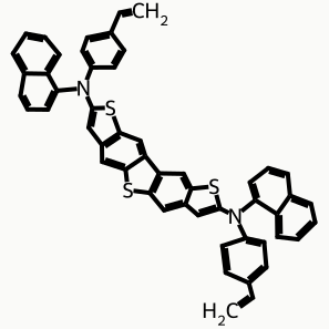 C=Cc1ccc(N(c2cc3cc4sc5cc6cc(N(c7ccc(C=C)cc7)c7cccc8ccccc78)sc6cc5c4cc3s2)c2cccc3ccccc23)cc1